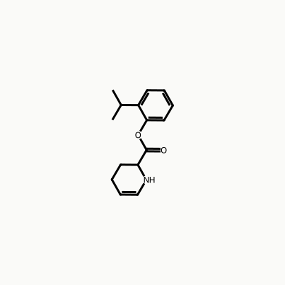 CC(C)c1ccccc1OC(=O)C1CCC=CN1